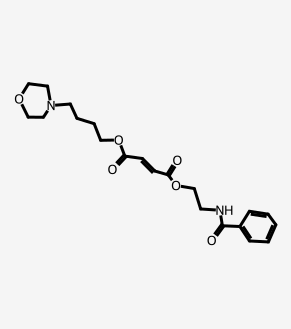 O=C(/C=C/C(=O)OCCNC(=O)c1ccccc1)OCCCCN1CCOCC1